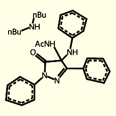 CC(=O)NC1(Nc2ccccc2)C(=O)N(c2ccccc2)N=C1c1ccccc1.CCCCNCCCC